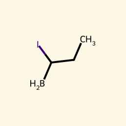 BC(I)CC